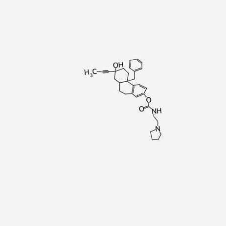 CC#CC1(O)CCC2(Cc3ccccc3)c3ccc(OC(=O)NCCN4CCCC4)cc3CCC2C1